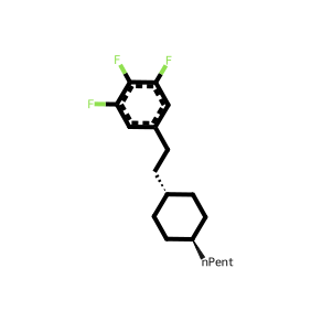 CCCCC[C@H]1CC[C@H](CCc2cc(F)c(F)c(F)c2)CC1